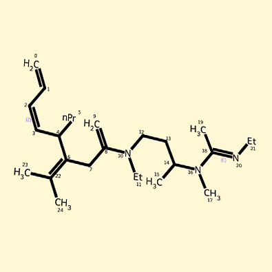 C=C/C=C\C(CCC)C(CC(=C)N(CC)CCC(C)N(C)/C(C)=N/CC)=C(C)C